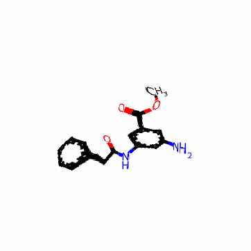 COC(=O)c1cc(N)cc(NC(=O)Cc2ccccc2)c1